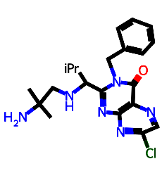 CC(C)C(NCC(C)(C)N)c1nc2nc(Cl)cnc2c(=O)n1Cc1ccccc1